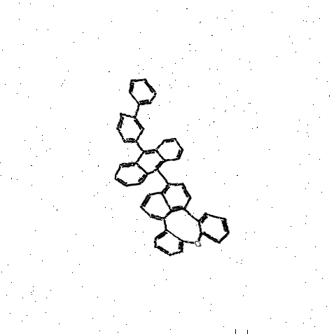 c1ccc(-c2cccc(-c3c4ccccc4c(-c4ccc5c6c(cccc46)-c4ccccc4Oc4ccccc4-5)c4ccccc34)c2)cc1